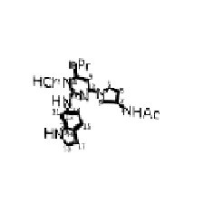 CCCc1cc(N2CCC(NC(C)=O)C2)nc(Nc2ccc3cc[nH]c3c2)n1.Cl